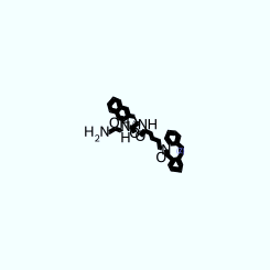 NCC(O)CNC(=O)[C@@H](Cc1ccc2ccccc2c1)NC(=O)CCCCN1C(=O)c2ccccc2/C=C\c2ccccc21